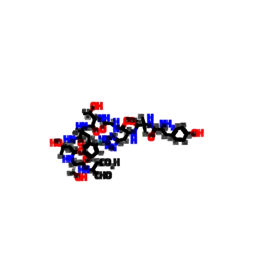 C[C@@H](O)[C@H](NC(=O)CNC(=O)[C@H](Cc1nn[nH]n1)NC(=O)C(C)(C)NC(=O)[C@@H](N)Cc1ccc(O)cc1)C(=O)N[C@@](C)(Cc1ccccc1F)C(=O)N[C@H](C(=O)N[C@@H](CO)C(=O)NC(C=O)CC(=O)O)[C@@H](C)O